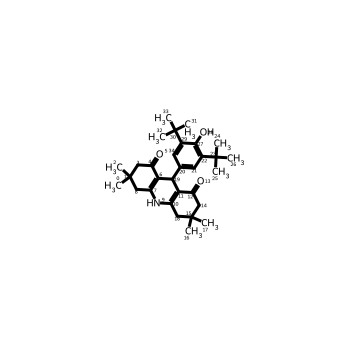 CC1(C)CC(=O)C2=C(C1)NC1=C(C(=O)CC(C)(C)C1)C2c1cc(C(C)(C)C)c(O)c(C(C)(C)C)c1